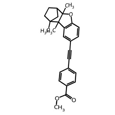 COC(=O)c1ccc(C#Cc2ccc3c(c2)C2(C)C4(C)CCC(C4)C2(C)O3)cc1